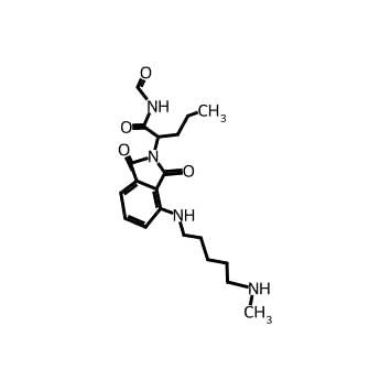 CCCC(C(=O)NC=O)N1C(=O)c2cccc(NCCCCCNC)c2C1=O